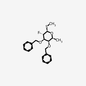 CS[C@H]1O[C@@H](C)[C@@H](OCc2ccccc2)[C@@H](OCc2ccccc2)[C@@H]1F